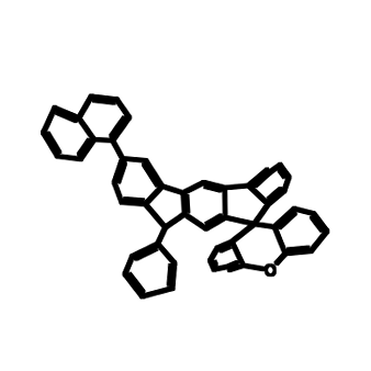 c1ccc(C2c3ccc(-c4cccc5ccccc45)cc3-c3cc4c(cc32)C2(c3ccccc3Oc3ccccc32)c2ccccc2-4)cc1